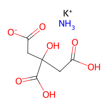 N.O=C([O-])CC(O)(CC(=O)O)C(=O)O.[K+]